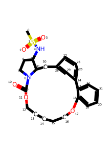 CS(=O)(=O)NC1CCN2C(=O)OCCCCCOc3ccccc3-c3cccc(c3)CC12